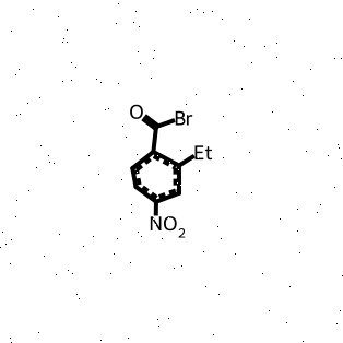 CCc1cc([N+](=O)[O-])ccc1C(=O)Br